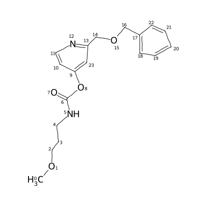 COCCCNC(=O)Oc1ccnc(COCc2ccccc2)c1